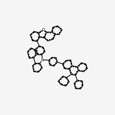 c1ccc(-c2ccccc2N(c2ccc(-c3ccc4c(c3)c(-c3ccccc3)c(-c3ccccc3)c3ccccc34)cc2)c2ccc(-c3cccc4oc5c6ccccc6ccc5c34)cc2)cc1